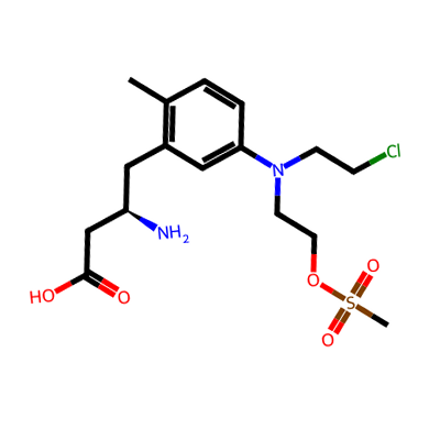 Cc1ccc(N(CCCl)CCOS(C)(=O)=O)cc1C[C@@H](N)CC(=O)O